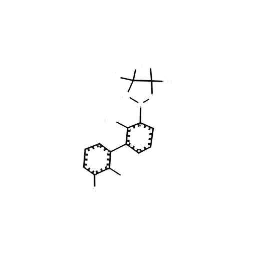 Cc1c(N)cccc1-c1cccc(B2OC(C)(C)C(C)(C)O2)c1C